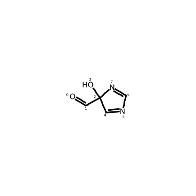 O=[C]C1(O)C=NC=N1